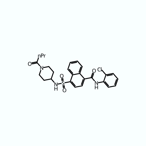 CCCC(=O)N1CCC(NS(=O)(=O)c2ccc(C(=O)Nc3ccccc3Cl)c3ccccc23)CC1